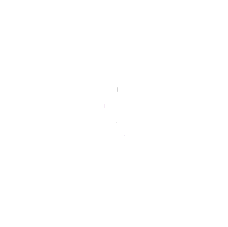 CP=BI